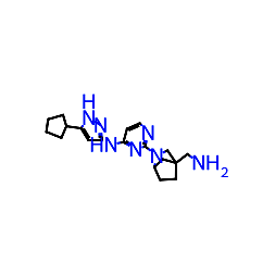 NCC12CCC(C1)N(c1nccc(Nc3cc(C4CCCC4)[nH]n3)n1)C2